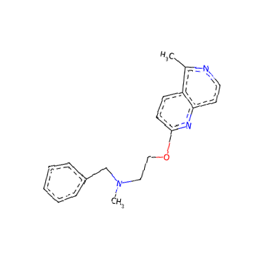 Cc1nccc2nc(OCCN(C)Cc3ccccc3)ccc12